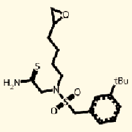 CC(C)(C)c1cccc(CS(=O)(=O)N(CCCCC2CO2)CC(N)=S)c1